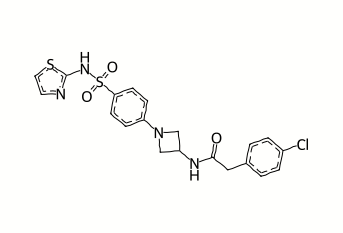 O=C(Cc1ccc(Cl)cc1)NC1CN(c2ccc(S(=O)(=O)Nc3nccs3)cc2)C1